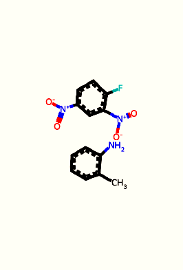 Cc1ccccc1N.O=[N+]([O-])c1ccc(F)c([N+](=O)[O-])c1